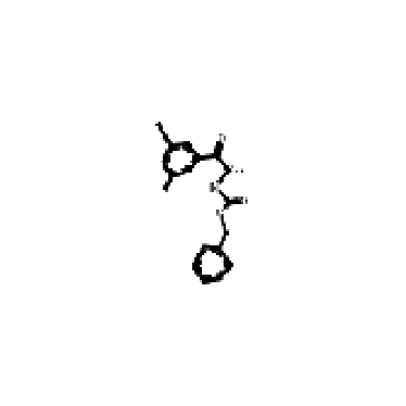 Cc1cc(C)cc(C(=O)[C@H](C)NC(=O)OCc2ccccc2)c1